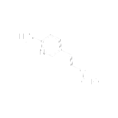 Nc1ccc(/C=C/OC=O)cn1